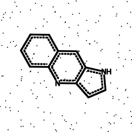 [c]1c2ccccc2nc2cc[nH]c12